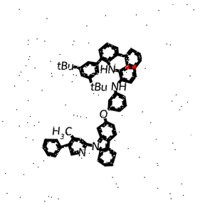 Cc1cc(-n2c3ccccc3c3ccc(Oc4cccc(Nc5ccccc5Nc5c(-c6ccccc6)cccc5-c5cc(C(C)(C)C)cc(C(C)(C)C)c5)c4)cc32)ncc1-c1ccccc1